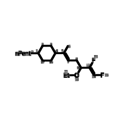 CCCCCC1CCC(/C(C)=C/CC(OCC)/C(F)=C/F)CC1